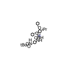 CC(C)c1cc(/C=N/NC(=O)Nc2ccc(CNC(=O)OC(C)(C)C)cc2)c(OCc2ccccc2)cc1OCc1ccccc1